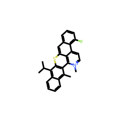 Cc1c2c(c(C(C)C)c3ccccc13)Sc1cc3cccc(F)c3c3cc[n+](C)c-2c13